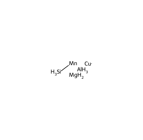 [AlH3].[Cu].[MgH2].[SiH3][Mn]